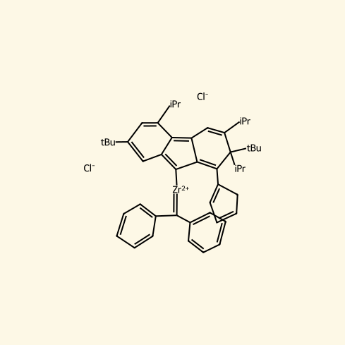 CC(C)C1=CC2=c3c(C(C)C)cc(C(C)(C)C)cc3=[C]([Zr+2]=[C](c3ccccc3)c3ccccc3)C2=C(C2=CC=CC2)C1(C(C)C)C(C)(C)C.[Cl-].[Cl-]